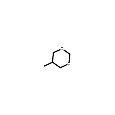 CC1CO[CH]OC1